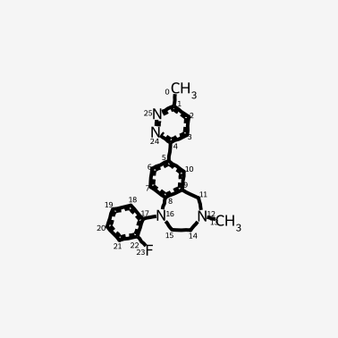 Cc1ccc(-c2ccc3c(c2)CN(C)CCN3c2ccccc2F)nn1